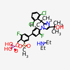 CC(C)(O)c1cn(-c2ccc(-c3cc(F)c(COP(=O)(O)O)c(S(C)(=O)=O)c3)cc2F)c(C(C)(C)c2c(Cl)cccc2Cl)n1.CCNCC